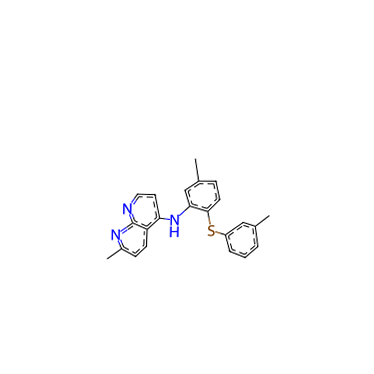 Cc1cccc(Sc2ccc(C)cc2Nc2ccnc3nc(C)ccc23)c1